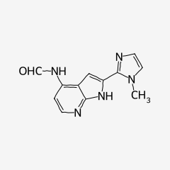 Cn1ccnc1-c1cc2c(NC=O)ccnc2[nH]1